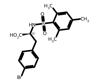 Cc1cc(C)c(S(=O)(=O)N[C@@H](Cc2ccc(Br)cc2)C(=O)O)c(C)c1